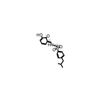 CC(C)Cc1ccc(S(=O)(=O)NN/C=C2\C=CC=C(O)C2=O)cc1